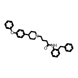 O=C(CCCN1CCC(c2ccc(Oc3ccccc3)cc2)CC1)Nc1ccccc1Cc1ccccc1